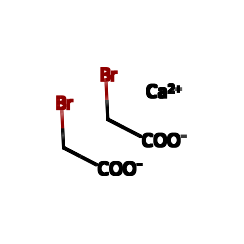 O=C([O-])CBr.O=C([O-])CBr.[Ca+2]